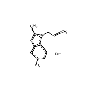 C=CC[n+]1c(C)sc2cc(C)ccc21.[Br-]